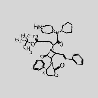 CC(C)(C)OC(=O)CCC(C(=O)N(C1CCCCC1)N1CCNCC1)N1C(=O)C(N2C(=O)OC[C@@H]2c2ccccc2)C1C=Cc1ccccc1